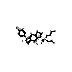 CCCCN(CCC)C(=O)[C@H]1CCC2=C1[C@@H](C)C1=CNN(c3ccc(F)cc3)C1=C2